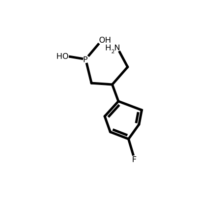 NCC(CP(O)O)c1ccc(F)cc1